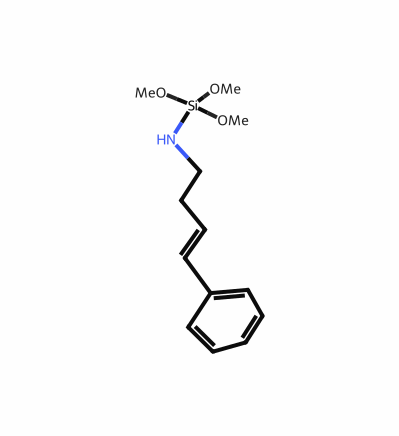 CO[Si](NCCC=Cc1ccccc1)(OC)OC